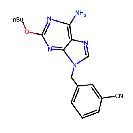 CCCCOc1nc(N)c2ncn(Cc3cccc(C#N)c3)c2n1